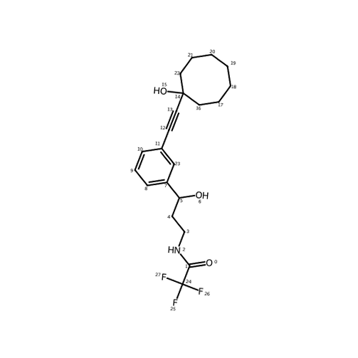 O=C(NCCC(O)c1cccc(C#CC2(O)CCCCCCC2)c1)C(F)(F)F